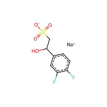 O=S(=O)([O-])CC(O)c1ccc(F)c(F)c1.[Na+]